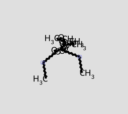 CCCCCCCC/C=C\CCCCCCCC(=O)OC[C@H](COP(=O)(OCCN(C)C)OC(C)OC(=O)CC)OC(=O)CCCCCCC/C=C\CCCCCCCC